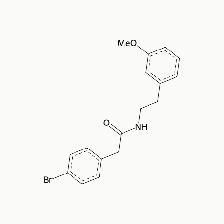 COc1cccc(CCNC(=O)Cc2ccc(Br)cc2)c1